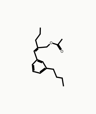 CCCCc1cccc(C=C(CCC)COC(C)=O)c1